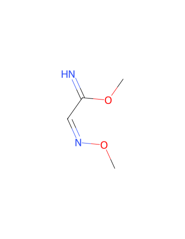 CO/N=C\C(=N)OC